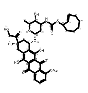 COc1cccc2c1C(=O)c1c(O)c3c(c(O)c1C2=O)C[C@@](O)(C(=O)CO)C[C@@H]3O[C@H]1CC(NC(=O)OC2/C=C/CCCCC2)[C@H](O)C(C)O1